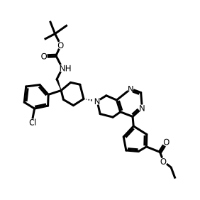 CCOC(=O)c1cccc(-c2ncnc3c2CCN([C@H]2CC[C@@](CNC(=O)OC(C)(C)C)(c4cccc(Cl)c4)CC2)C3)c1